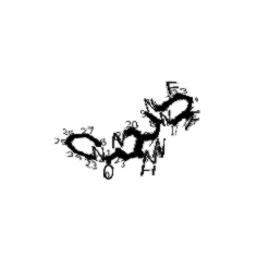 O=C(c1cc2[nH]nc(-c3cnc4c(F)cc(F)cn34)c2cn1)N1CCCCCC1